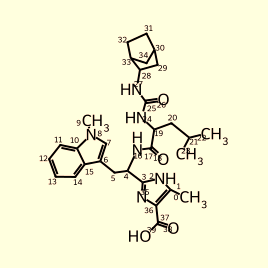 Cc1[nH]c(C(Cc2cn(C)c3ccccc23)NC(=O)C(CC(C)C)NC(=O)NC2CC3CCC2C3)nc1C(=O)O